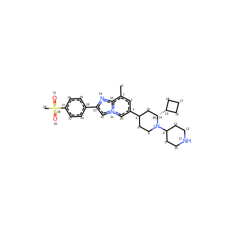 Cc1cc(C2CCN(C3CCNCC3)[C@@H](C3CCC3)C2)cn2cc(-c3ccc(S(C)(=O)=O)cc3)nc12